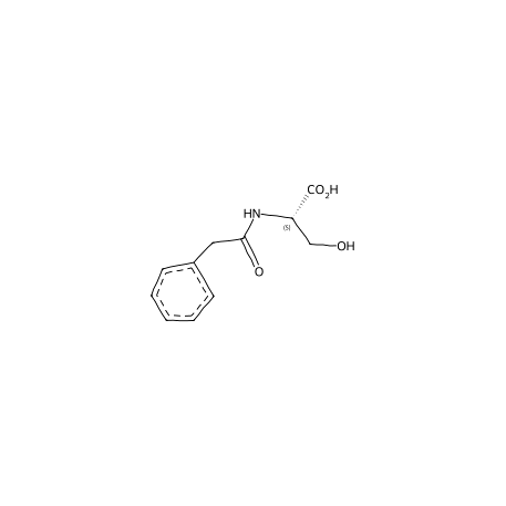 O=C(Cc1ccccc1)N[C@@H](CO)C(=O)O